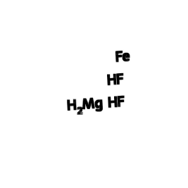 F.F.[Fe].[MgH2]